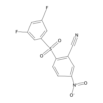 N#Cc1cc([N+](=O)[O-])ccc1S(=O)(=O)c1cc(F)cc(F)c1